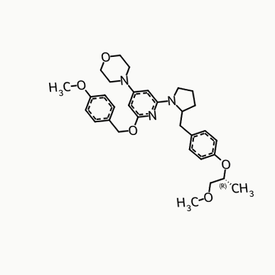 COC[C@@H](C)Oc1ccc(CC2CCCN2c2cc(N3CCOCC3)cc(OCc3ccc(OC)cc3)n2)cc1